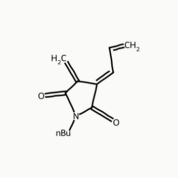 C=C/C=C1\C(=C)C(=O)N(CCCC)C1=O